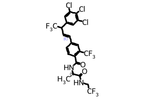 C[C@H](NC(=O)c1ccc(/C=C/C(c2cc(Cl)c(Cl)c(Cl)c2)C(F)(F)F)cc1C(F)(F)F)C(=O)NCC(F)(F)F